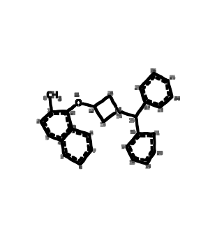 Cc1ccc2ccccc2c1OC1CN(C(c2ccccc2)c2ccccc2)C1